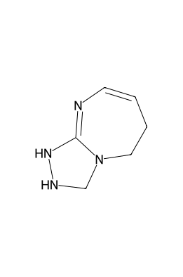 C1=CN=C2NNCN2CC1